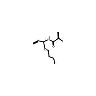 C=CC(NC(=O)C(=C)C)OCCCC